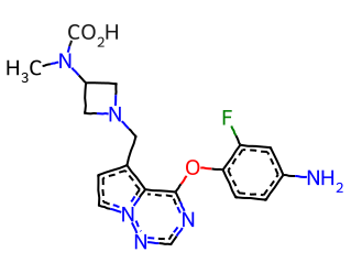 CN(C(=O)O)C1CN(Cc2ccn3ncnc(Oc4ccc(N)cc4F)c23)C1